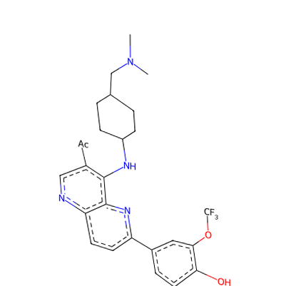 CC(=O)c1cnc2ccc(-c3ccc(O)c(OC(F)(F)F)c3)nc2c1NC1CCC(CN(C)C)CC1